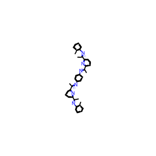 C/C(=N\c1ccc(/N=C(\C)c2cccc(/C(C)=N/c3ccccc3C)n2)cc1)c1cccc(/C(C)=N/c2ccccc2C)n1